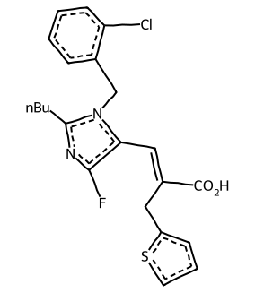 CCCCc1nc(F)c(/C=C(\Cc2cccs2)C(=O)O)n1Cc1ccccc1Cl